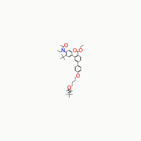 CCOC(=O)c1ccc(-c2ccc(OCCCCO[Si](C)(C)C(C)(C)C)cc2)cc1-c1ccc(N(CC)C(C)=O)c(C(C)(C)C)c1